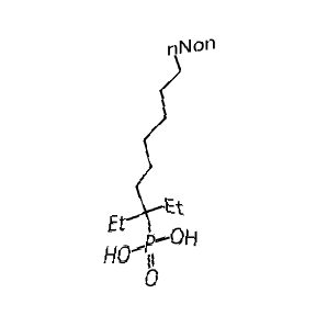 CCCCCCCCCCCCCCCC(CC)(CC)P(=O)(O)O